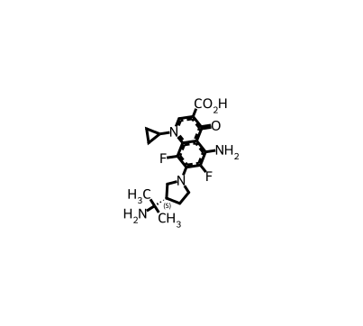 CC(C)(N)[C@H]1CCN(c2c(F)c(N)c3c(=O)c(C(=O)O)cn(C4CC4)c3c2F)C1